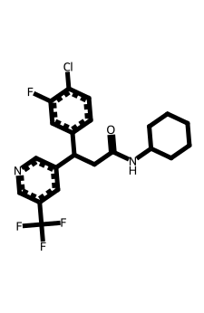 O=C(CC(c1cncc(C(F)(F)F)c1)c1ccc(Cl)c(F)c1)NC1CCCCC1